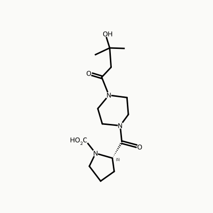 CC(C)(O)CC(=O)N1CCN(C(=O)[C@@H]2CCCN2C(=O)O)CC1